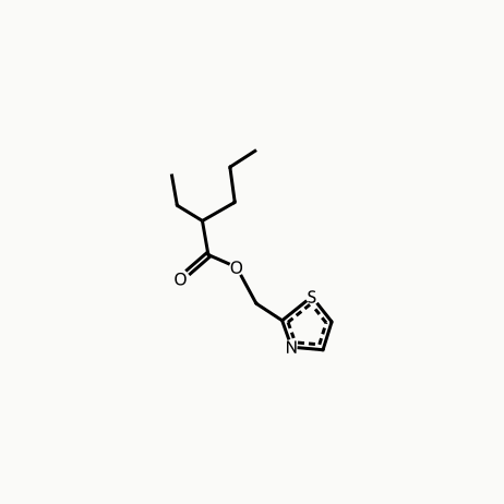 CCCC(CC)C(=O)OCc1nccs1